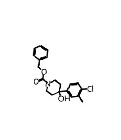 Cc1cc(C2(O)CCN(C(=O)OCc3ccccc3)CC2)ccc1Cl